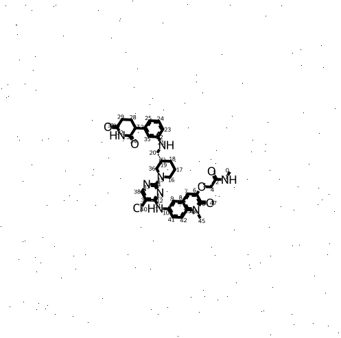 CNC(=O)COc1cc2cc(Nc3nc(N4CCC[C@@H](CNc5cccc(C6CCC(=O)NC6=O)c5)C4)ncc3Cl)ccc2n(C)c1=O